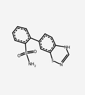 NS(=O)(=O)c1ccccc1-c1ccc2c(c1)SN=CN2